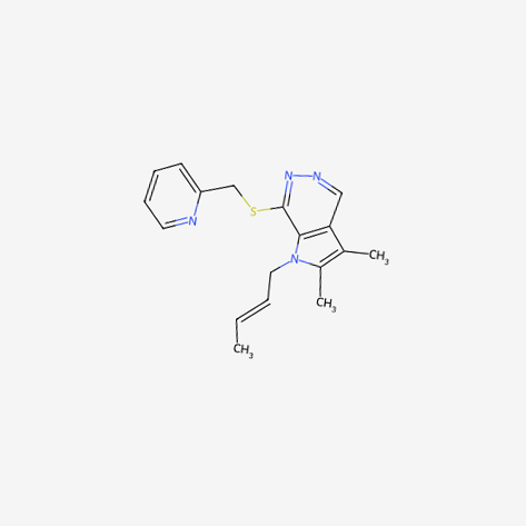 CC=CCn1c(C)c(C)c2cnnc(SCc3ccccn3)c21